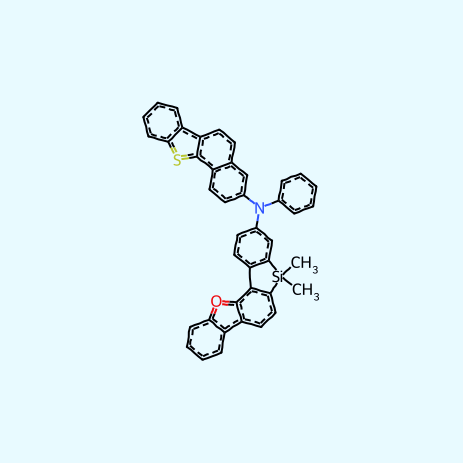 C[Si]1(C)c2cc(N(c3ccccc3)c3ccc4c(ccc5c6ccccc6sc45)c3)ccc2-c2c1ccc1c2oc2ccccc21